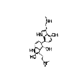 CNCCc1c[nH]c2c(-c3ccc4[nH]c(O)c(CCN(C)C)c4c3O)ccc(O)c12